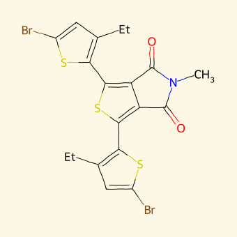 CCc1cc(Br)sc1-c1sc(-c2sc(Br)cc2CC)c2c1C(=O)N(C)C2=O